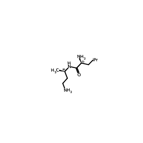 CC(C)C[C@H](N)C(=O)N[C@H](C)CCN